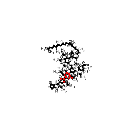 C=C(C/C=C(\C)CCC=C(C)C)CCC(C)(C)/C=C/CC/C(C)=C\CO[C@H](COP(=O)(O)O[C@H]1OC(C(N)=O)[C@@](C)(O)[C@H](OC(N)=O)C1O[C@@H]1OC(CO[C@@H]2OC(COC(C)=O)[C@@H](OC(C)=O)C(OC(C)=O)[C@@H]2OC(C)=O)[C@@H](O[C@@H]2OC(C)[C@@H](O[C@@H]3OC(C(=O)NC4=C(O)CCC4=O)[C@H](OC(C)=O)C(OC(C)=O)[C@@H]3OC(C)=O)C(OC(C)=O)[C@@H]2NC(C)=O)C(OC(C)=O)[C@@H]1NC(C)=O)C(=O)OC